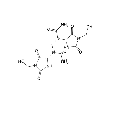 NC(=O)N(CN(C(N)=O)C1NC(=O)N(CO)C1=O)C1NC(=O)N(CO)C1=O